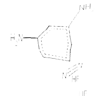 F.F.N#N.Nc1cccc(N)c1